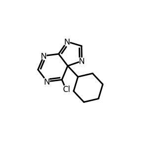 ClC1=NC=NC2=NC=NC12C1CCCCC1